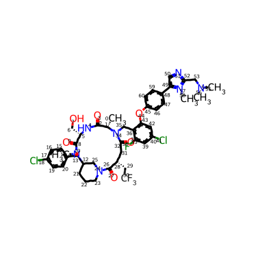 C[C@H]1C(=O)N[C@@H](CO)C(=O)N(C)[C@@]2(Cc3ccc(Cl)cc3)CCCN(C2)C(=O)[C@@H](CC(F)(F)F)CC(=O)N1Cc1c(F)cc(Cl)cc1Oc1ccc(-c2cnc(CN(C)C)n2C)cc1